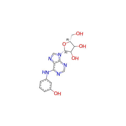 OC[C@H]1O[C@@H](n2cnc3c(Nc4cccc(O)c4)ncnc32)C(O)C1O